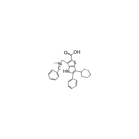 CN(Cc1ccccc1)Cc1c(C(=O)O)sc2c(C3CCCCC3)c(-c3ccccc3)[nH]c12